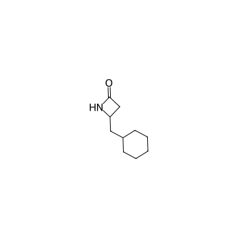 O=C1CC(CC2CCCCC2)N1